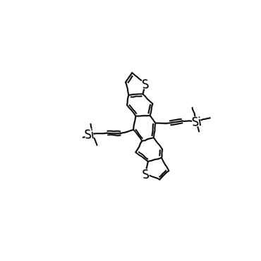 C[Si](C)(C)C#Cc1c2cc3ccsc3cc2c(C#C[Si](C)(C)C)c2cc3ccsc3cc12